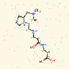 CN(C)CC1CCCN1CCNCCC(=O)NCCC(=O)O